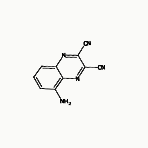 N#Cc1nc2cccc(N)c2nc1C#N